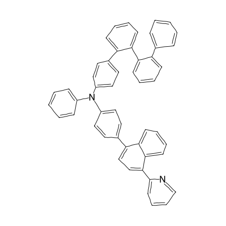 c1ccc(-c2ccccc2-c2ccccc2-c2ccc(N(c3ccccc3)c3ccc(-c4ccc(-c5ccccn5)c5ccccc45)cc3)cc2)cc1